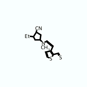 CCC1CC(N(C)/C=C\c2ccsc2C=S)CC1C#N